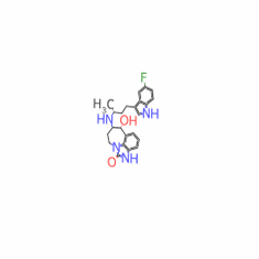 C[C@H](CCc1c[nH]c2ccc(F)cc12)N[C@@H]1CCn2c(=O)[nH]c3cccc(c32)[C@H]1O